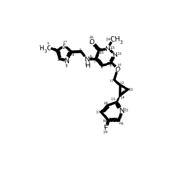 Cc1cnc(CNc2cc(OCC3C[C@H]3c3ccc(F)cn3)nn(C)c2=O)s1